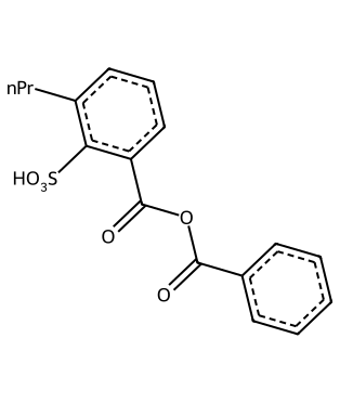 CCCc1cccc(C(=O)OC(=O)c2ccccc2)c1S(=O)(=O)O